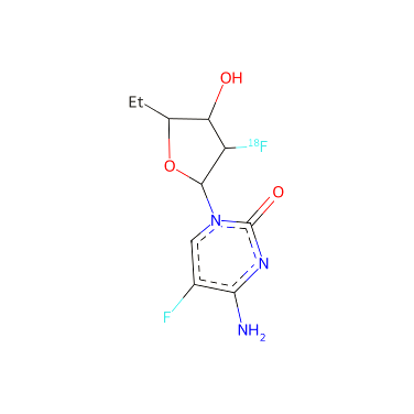 CCC1OC(n2cc(F)c(N)nc2=O)C([18F])C1O